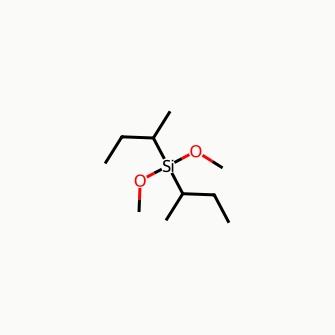 CCC(C)[Si](OC)(OC)C(C)CC